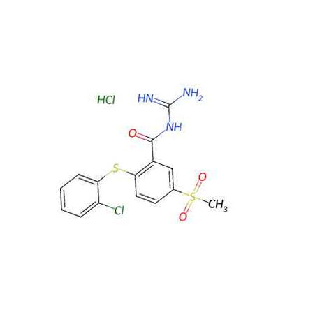 CS(=O)(=O)c1ccc(Sc2ccccc2Cl)c(C(=O)NC(=N)N)c1.Cl